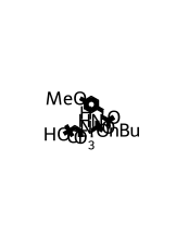 CCCCOC(=O)[C@H](Cc1ccc(OC)cc1)NC(=O)[C@@H](C)NC(=O)CC(C)(O)C(F)(F)F